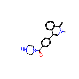 C=C1c2ccccc2C(c2ccc(C(=O)N3CCNCC3)cc2)=CN1C